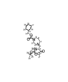 COC(=O)C(CN1CCCN(C(=O)OCc2ccccc2)CC1)NC(=O)OC(C)(C)C